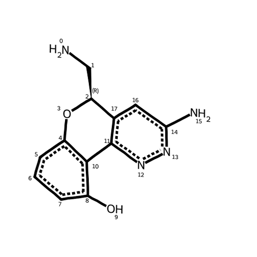 NC[C@@H]1Oc2cccc(O)c2-c2nnc(N)cc21